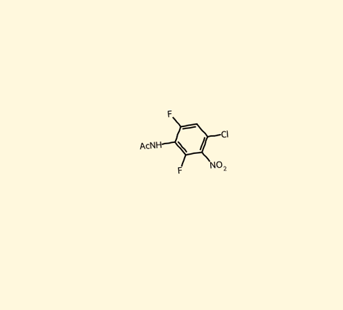 CC(=O)Nc1c(F)cc(Cl)c([N+](=O)[O-])c1F